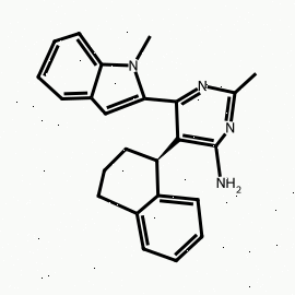 Cc1nc(N)c([C@@H]2CCCc3ccccc32)c(-c2cc3ccccc3n2C)n1